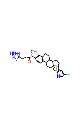 CN(C(=O)CCc1nn[nH]n1)c1ccc2c(c1)CCC1C2CC[C@]2(C)C(c3cncc(F)c3)=CCC12